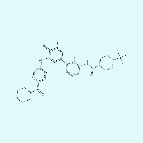 Cc1c(NC(=O)C2CCC(C(C)(C)C)CC2)cccc1-c1cn(C)c(=O)c(Nc2ccc(C(=O)N3CCOCC3)cc2)n1